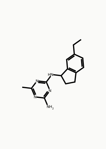 CCc1ccc2c(c1)C(Nc1nc(C)nc(N)n1)CC2